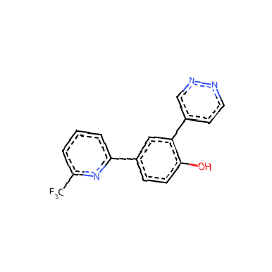 Oc1ccc(-c2cccc(C(F)(F)F)n2)cc1-c1ccnnc1